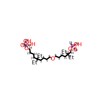 CCC(CC)(CCCCOCCCCC(CC)(CC)COP(C)(=O)O)CCCCOP(=O)(O)O